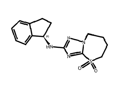 O=S1(=O)CCCCn2nc(N[C@@H]3CCc4ccccc43)nc21